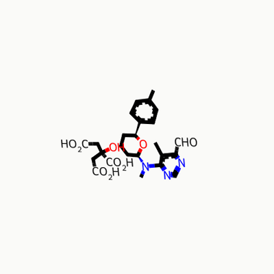 Cc1ccc([C@@H]2CCC[C@H](N(C)c3ncnc(C=O)c3C)O2)cc1.O=C(O)CC(O)(CC(=O)O)C(=O)O